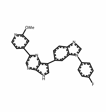 COc1cc(-c2cnc3[nH]cc(-c4ccc5ncn(-c6ccc(F)cc6)c5c4)c3n2)ccn1